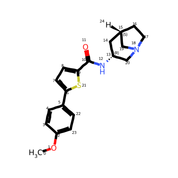 COc1ccc(-c2ccc(C(=O)N[C@@H]3C[C@@H]4CCN(C4)C3)s2)cc1